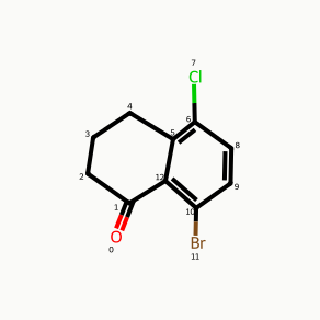 O=C1CCCc2c(Cl)ccc(Br)c21